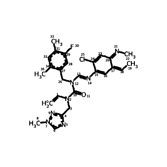 C=CN(Cc1ncn(C)n1)C(=O)N(/C=N/C1=CC(=C/C)/C(=N\C)C=C1Cl)Cc1cc(F)c(C)cc1C